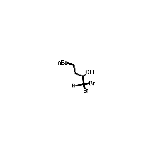 CCCCCCC(O)C(Br)(Br)Br